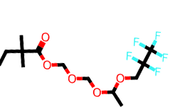 CCC(C)(C)C(=O)OCOCOC(C)OCC(F)(F)C(F)(F)F